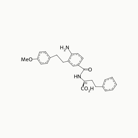 COc1ccc(CCc2cc(C(=O)N[C@@H](CCc3ccccc3)C(=O)O)ccc2N)cc1